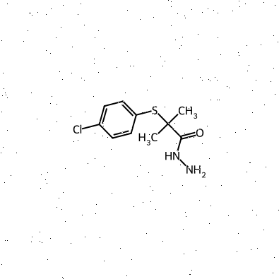 CC(C)(Sc1ccc(Cl)cc1)C(=O)NN